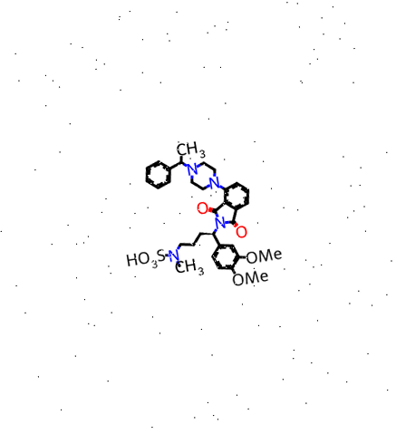 COc1ccc([C@@H](CCCN(C)S(=O)(=O)O)N2C(=O)c3cccc(N4CCN(C(C)c5ccccc5)CC4)c3C2=O)cc1OC